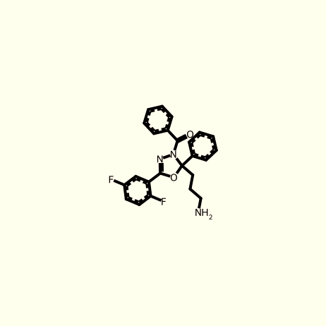 NCCCC1(c2ccccc2)OC(c2cc(F)ccc2F)=NN1C(=O)c1ccccc1